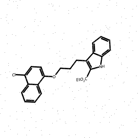 CCOC(=O)c1[nH]c2ccccc2c1CCCOc1ccc(Cl)c2ccccc12